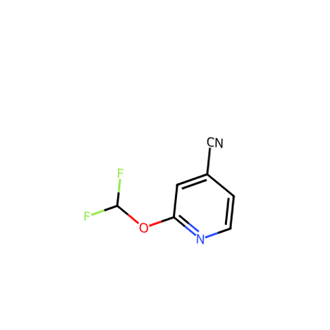 N#Cc1ccnc(OC(F)F)c1